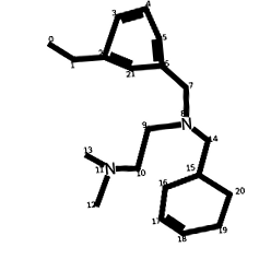 CCc1cccc(CN(CCN(C)C)CC2CC=CCC2)c1